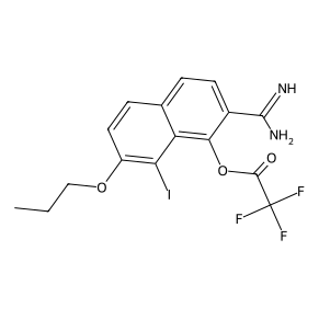 CCCOc1ccc2ccc(C(=N)N)c(OC(=O)C(F)(F)F)c2c1I